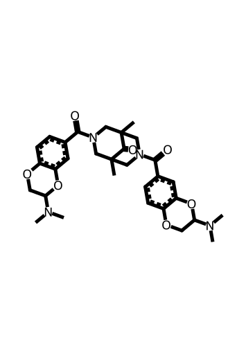 CN(C)C1COc2ccc(C(=O)N3CC4(C)CN(C(=O)c5ccc6c(c5)OC(N(C)C)CO6)CC(C)(C3)C4=O)cc2O1